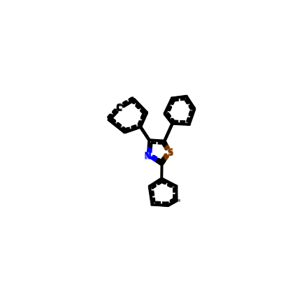 [c]1cccc(-c2nc(-c3ccccc3)c(-c3ccccc3)s2)c1